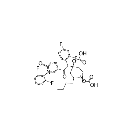 CCCCC1CC(OC(=O)O)(C(C(=O)c2ccc(=O)n(-c3c(F)cccc3F)c2)c2ccc(F)cc2F)CCN1OC(=O)O